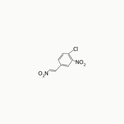 O=[N+]([O-])C=Cc1ccc(Cl)c([N+](=O)[O-])c1